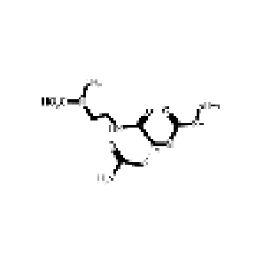 CCCCCCNC(=O)N[C@H](CC(N)=O)C(=O)NCCN(C)C(=O)O